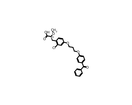 CO[C@@H](Cc1ccc(OCCCOc2ccc(C(=O)c3ccccc3)cc2)cc1Cl)C(=O)O